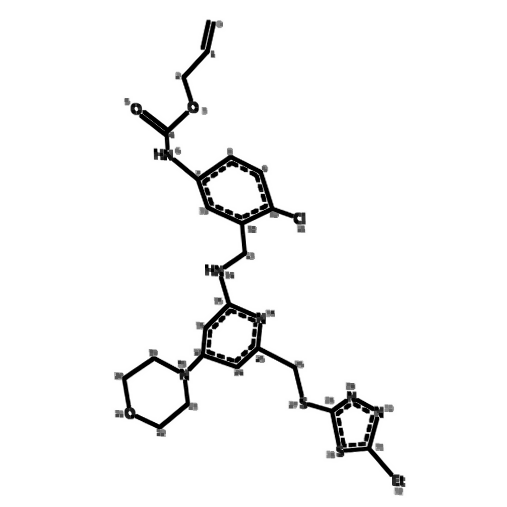 C=CCOC(=O)Nc1ccc(Cl)c(CNc2cc(N3CCOCC3)cc(CSc3nnc(CC)s3)n2)c1